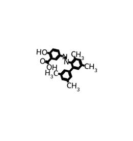 Cc1cc(C)cc(-c2cc(C)cc(C)c2/N=N/c2ccc(O)c(C(=O)O)c2)c1